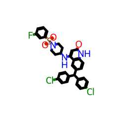 O=c1cc(NC2CCN(S(=O)(=O)c3cccc(F)c3)CC2)c2cc(C(c3ccc(Cl)cc3)c3ccc(Cl)cc3)ccc2[nH]1